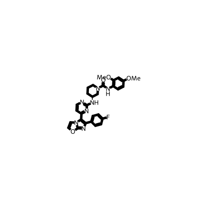 COc1ccc(NC(=O)N2CCC[C@@H](Nc3nccc(-c4c(-c5ccc(F)cc5)nc5occn45)n3)C2)c(OC)c1